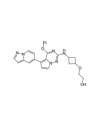 CCOc1nc(NC2CC(OCCO)C2)nn2ccc(-c3ccn4nccc4c3)c12